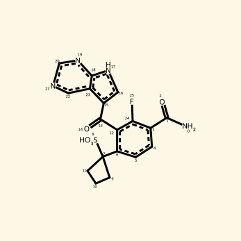 NC(=O)c1ccc(C2(S(=O)(=O)O)CCC2)c(C(=O)c2c[nH]c3ncncc23)c1F